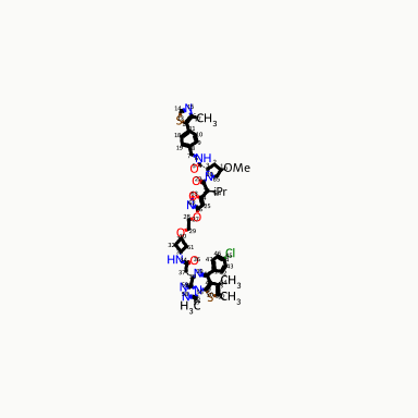 CO[C@@H]1C[C@@H](C(=O)NCc2ccc(-c3scnc3C)cc2)N(C(=O)[C@H](c2cc(OCCO[C@H]3C[C@@H](NC(=O)C[C@@H]4N=C(c5ccc(Cl)cc5)c5c(sc(C)c5C)-n5c(C)nnc54)C3)no2)C(C)C)C1